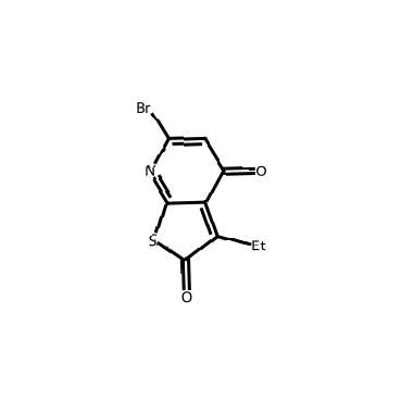 CCC1=C2C(=O)C=C(Br)N=C2SC1=O